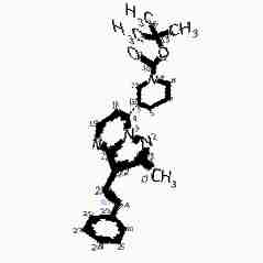 Cc1nn2c([C@H]3CCCN(C(=O)OC(C)(C)C)C3)ccnc2c1/C=C/c1ccccc1